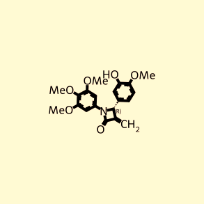 C=C1C(=O)N(c2cc(OC)c(OC)c(OC)c2)[C@@H]1c1ccc(OC)c(O)c1